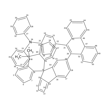 CC1(C)c2ccccc2C2(c3ccccc3-c3ccc(-c4c(-c5ccc(N(c6ccccc6)c6ccccc6)cc5)c5ccccc5c5ccccc45)cc32)c2ccccc21